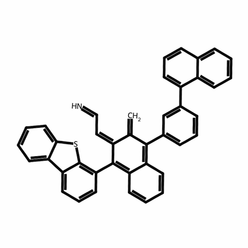 C=c1c(-c2cccc(-c3cccc4ccccc34)c2)c2ccccc2c(-c2cccc3c2sc2ccccc23)/c1=C/C=N